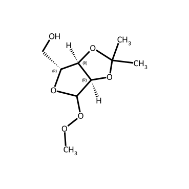 COOC1O[C@H](CO)[C@H]2OC(C)(C)O[C@@H]12